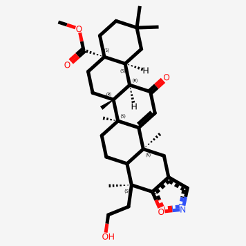 COC(=O)[C@]12CCC(C)(C)C[C@H]1[C@H]1C(=O)C=C3[C@@]4(C)Cc5cnoc5[C@@](C)(CCO)C4CC[C@@]3(C)[C@]1(C)CC2